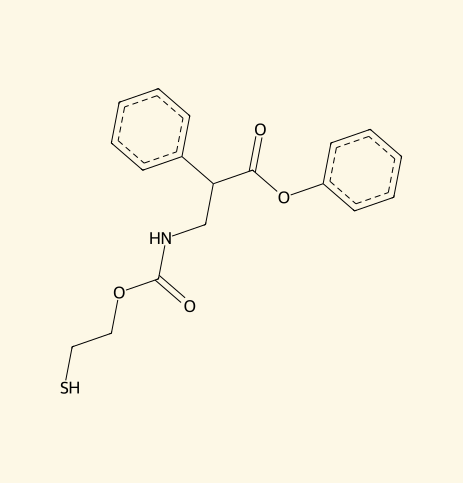 O=C(NCC(C(=O)Oc1ccccc1)c1ccccc1)OCCS